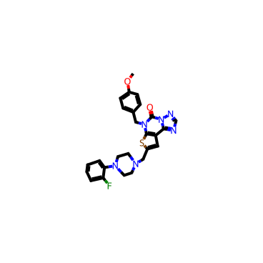 COc1ccc(Cn2c(=O)n3ncnc3c3cc(CN4CCN(c5ccccc5F)CC4)sc32)cc1